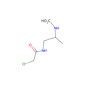 CC(CNC(=O)CCl)NC(=O)O